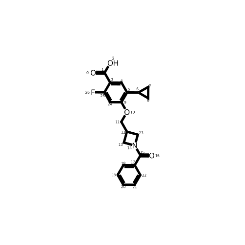 O=C(O)c1cc(C2CC2)c(OCC2CN(C(=O)c3ccccc3)C2)cc1F